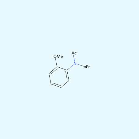 [CH2]CCN(C(C)=O)c1ccccc1OC